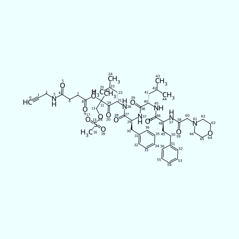 C#CCNC(=O)CCC(=O)OC(C)(COS(C)(=O)=O)C(=O)[C@H](CC(C)C)NC(=O)[C@H](Cc1ccccc1)NC(=O)[C@H](CC(C)C)NC(=O)[C@H](CCc1ccccc1)NC(=O)CN1CCOCC1